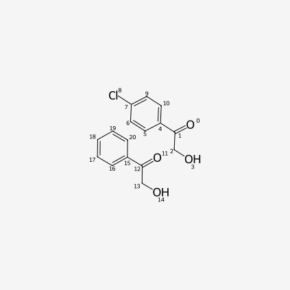 O=C(CO)c1ccc(Cl)cc1.O=C(CO)c1ccccc1